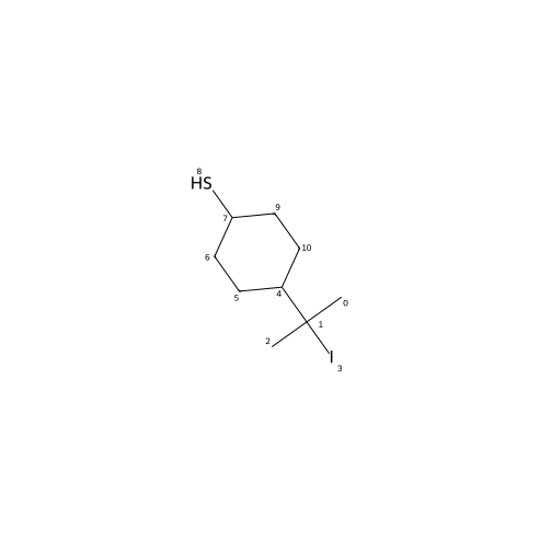 CC(C)(I)C1CCC(S)CC1